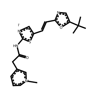 C[n+]1cccc(CC(=O)Nc2ncc(/C=C/c3ncc(C(C)(C)C)o3)s2)c1.[I-]